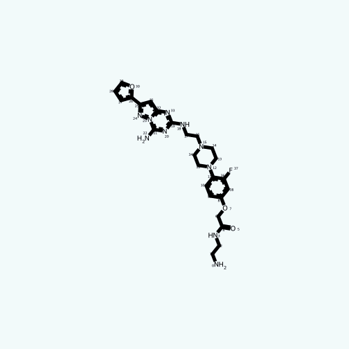 NCCNC(=O)COc1ccc(N2CCN(CCNc3nc(N)n4nc(-c5ccco5)cc4n3)CC2)c(F)c1